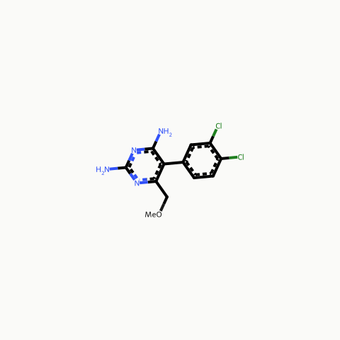 COCc1nc(N)nc(N)c1-c1ccc(Cl)c(Cl)c1